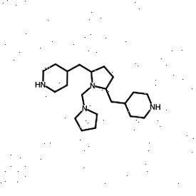 C1CCN(CN2C(CC3CCNCC3)CCC2CC2CCNCC2)C1